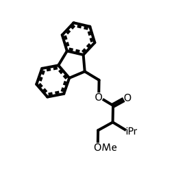 COCC(C(=O)OCC1c2ccccc2-c2ccccc21)C(C)C